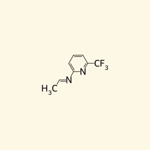 CC=Nc1cccc(C(F)(F)F)n1